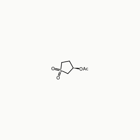 CC(=O)O[C@@H]1CCS(=O)(=O)C1